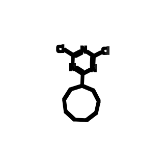 Clc1nc(Cl)nc(C2CCCCCCCC2)n1